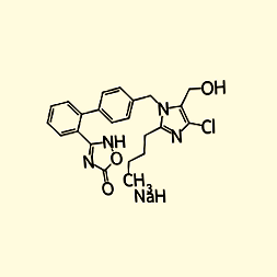 CCCCc1nc(Cl)c(CO)n1Cc1ccc(-c2ccccc2-c2nc(=O)o[nH]2)cc1.[NaH]